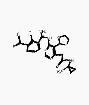 C[C@@H](Nc1ncnc(CC(=O)NC2(C)CC2)c1C1OCCO1)c1cccc(C(F)F)c1F